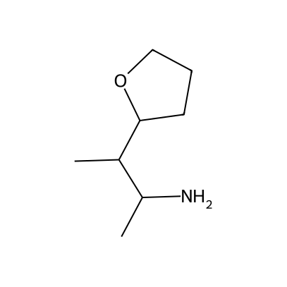 CC(N)C(C)C1CCCO1